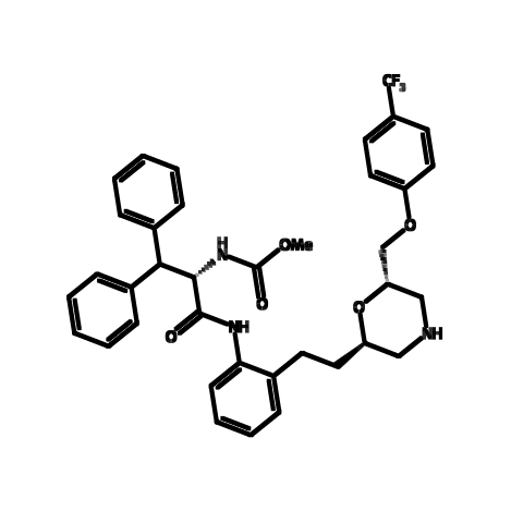 COC(=O)N[C@H](C(=O)Nc1ccccc1CC[C@@H]1CNC[C@@H](COc2ccc(C(F)(F)F)cc2)O1)C(c1ccccc1)c1ccccc1